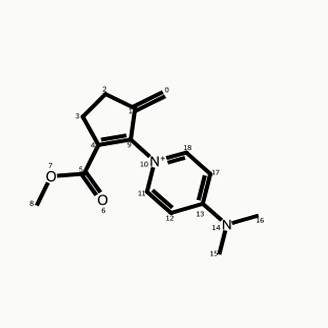 C=C1CCC(C(=O)OC)=C1[n+]1ccc(N(C)C)cc1